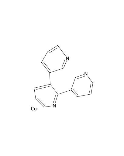 [Cu].c1cncc(-c2cccnc2-c2cccnc2)c1